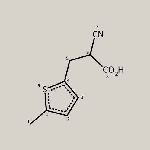 Cc1ccc(CC(C#N)C(=O)O)s1